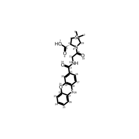 C[Si]1(C)C[C@@H](C(=O)O)N(C(=O)CNC(=O)c2ccc3c(c2)Oc2ccccc2S3)C1